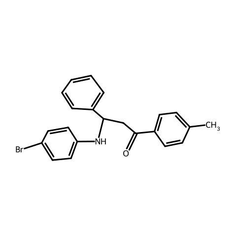 Cc1ccc(C(=O)CC(Nc2ccc(Br)cc2)c2ccccc2)cc1